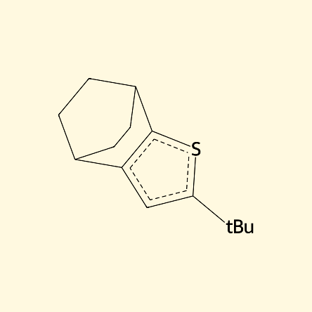 CC(C)(C)c1cc2c(s1)C1CCC2CC1